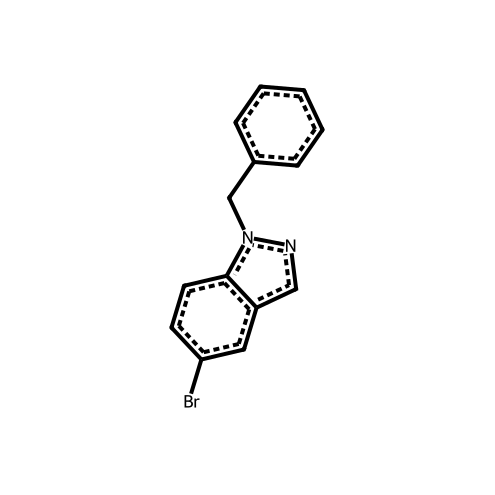 Brc1ccc2c(cnn2Cc2ccccc2)c1